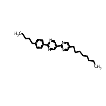 CCCCCCCCc1cnc(-c2cnc(-c3ccc(CCCCC)cc3)nc2)nc1